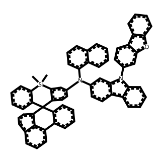 C[Si]1(C)c2ccccc2C2(c3ccccc3-c3cccc4cccc2c34)c2ccc(N(c3ccc4c5ccccc5n(-c5ccc6c(c5)oc5ccccc56)c4c3)c3cccc4ccccc34)cc21